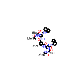 CN[C@@H](C)C(=O)NC(C(=O)N1C[C@@H](NC(=O)c2cc(OC)cc(C(=O)N[C@H]3C[C@@H](C(=O)N[C@@H]4CCCc5ccccc54)N(C(=O)[C@@H](NC(=O)[C@H](C)NC)C(C)(C)C)C3)c2)C[C@H]1C(=O)N[C@@H]1CCCc2ccccc21)C(C)(C)C